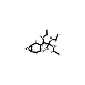 CCOC(C1CCC2OC2C1)C([SiH3])(OCC)OCC